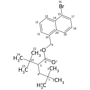 CC(C)(C)CC(C(=O)OCc1cccc2c(Br)cccc12)C(C)(C)C